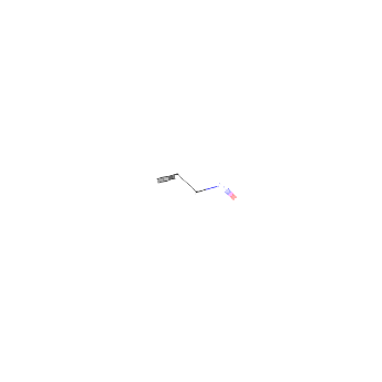 C=CCN=O